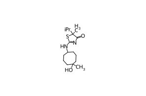 CC(C)C1(C)SC(NC2CCCC(C)(O)CCC2)=NC1=O